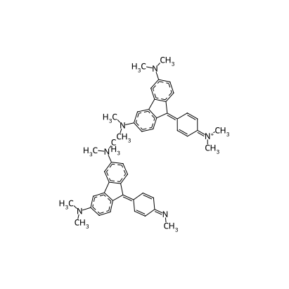 CN(C)c1ccc2c(c1)-c1cc(N(C)C)ccc1C2=C1C=CC(=[N+](C)C)C=C1.CN=C1C=CC(=C2c3ccc(N(C)C)cc3-c3cc(N(C)C)ccc32)C=C1